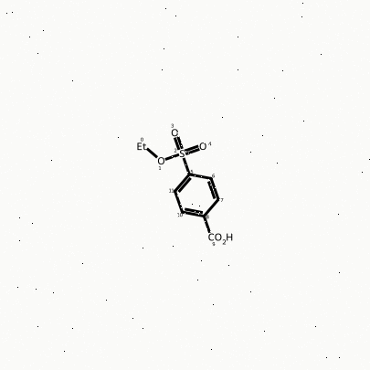 CCOS(=O)(=O)c1ccc(C(=O)O)cc1